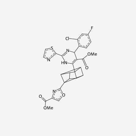 COC(=O)C1=C(C23C4C5C2C2C3C4C52c2nc(C(=O)OC)co2)NC(c2nccs2)=NC1c1ccc(F)cc1Cl